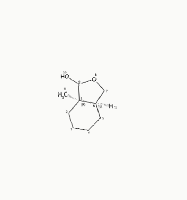 C[C@@]12CCCC[C@@H]1COC2O